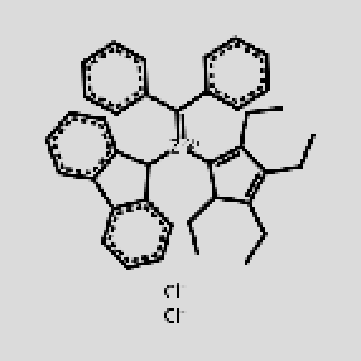 CCC1=C(CC)C(CC)[C]([Zr+2](=[C](c2ccccc2)c2ccccc2)[CH]2c3ccccc3-c3ccccc32)=C1CC.[Cl-].[Cl-]